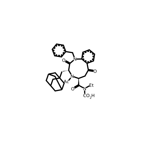 CCN(C(=O)O)C(=O)[C@@H]1CC(=O)c2ccccc2N(Cc2ccccc2)C(=O)[C@@H](CC23CC4CC(CC(C4)C2)C3)N1C(C)=O